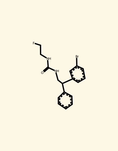 O=C(NCCF)NCC(c1ccccc1)c1cccc(Br)c1